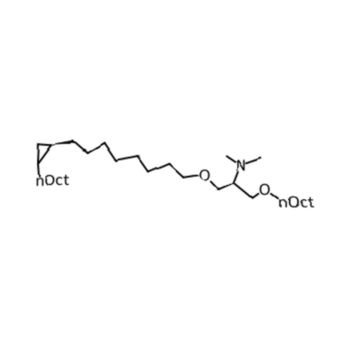 CCCCCCCCOCC(COCCCCCCCC[C@@H]1CC1CCCCCCCC)N(C)C